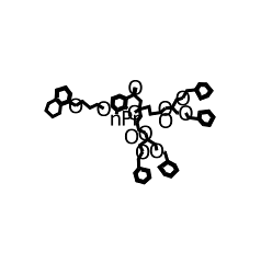 CCCc1c(OCCCOc2cccc3c2CCCC3)ccc2c1OC(CCC(=O)OC(COCc1ccccc1)COCc1ccccc1)(CCC(=O)OC(COCc1ccccc1)COCc1ccccc1)CC2=O